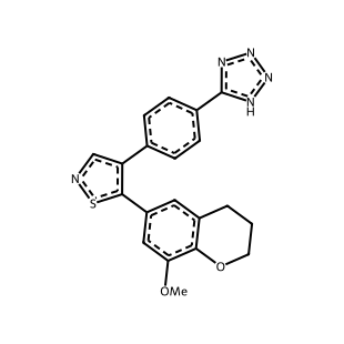 COc1cc(-c2sncc2-c2ccc(-c3nnn[nH]3)cc2)cc2c1OCCC2